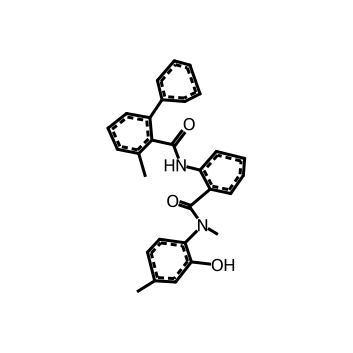 Cc1ccc(N(C)C(=O)c2ccccc2NC(=O)c2c(C)cccc2-c2ccccc2)c(O)c1